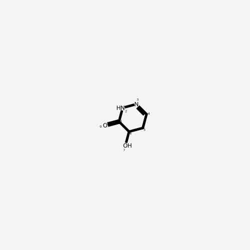 O=C1NN=CCC1O